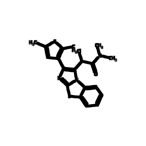 Cc1cc(-c2nc3sc4ccccc4n3c2C(Cl)C(=O)N(C)C)c(C)s1